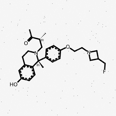 CC(=O)[C@H](C)CN1CCc2cc(O)ccc2[C@@]1(C)c1ccc(OCCN2CC(CF)C2)cc1